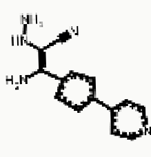 N#C/C(NN)=C(/N)c1ccc(-c2ccncc2)cc1